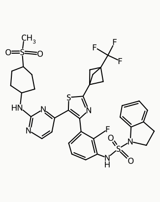 CS(=O)(=O)C1CCC(Nc2nccc(-c3sc(C45CC(C(F)(F)F)(C4)C5)nc3-c3cccc(NS(=O)(=O)N4CCc5ccccc54)c3F)n2)CC1